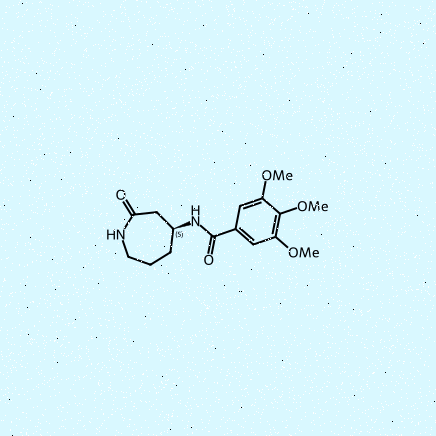 COc1cc(C(=O)N[C@H]2CCCNC(=O)C2)cc(OC)c1OC